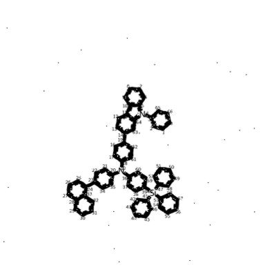 c1ccc(-n2c3ccccc3c3ccc(-c4ccc(N(c5ccc(-c6cccc7ccccc67)cc5)c5ccc([Si](c6ccccc6)(c6ccccc6)c6ccccc6)cc5)cc4)cc32)cc1